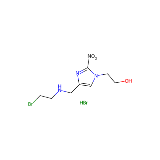 Br.O=[N+]([O-])c1nc(CNCCBr)cn1CCO